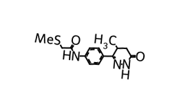 CSCC(=O)Nc1ccc(C2=NNC(=O)CC2C)cc1